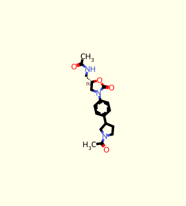 CC(=O)NC[C@H]1CN(c2ccc(C3CCN(C(C)=O)C3)cc2)C(=O)O1